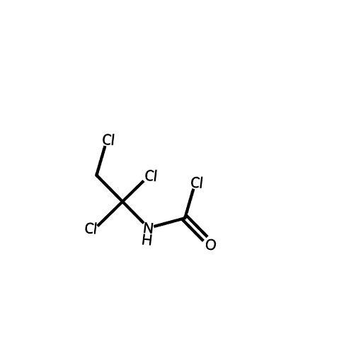 O=C(Cl)NC(Cl)(Cl)CCl